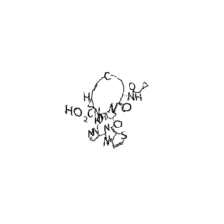 Cn1nccc1-c1nc(O[C@@H]2C[C@H]3C(=O)N[C@]4(C(=O)O)C[C@H]4C=CCCCCC[C@H](NC(=O)CC4CC4)C(=O)N3C2)c2sccc2n1